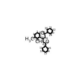 Cc1cccc(C(CC(=O)c2ccccc2)CC(=O)c2ccccc2)c1C